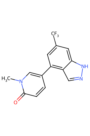 Cn1cc(-c2cc(C(F)(F)F)cc3[nH]ncc23)ccc1=O